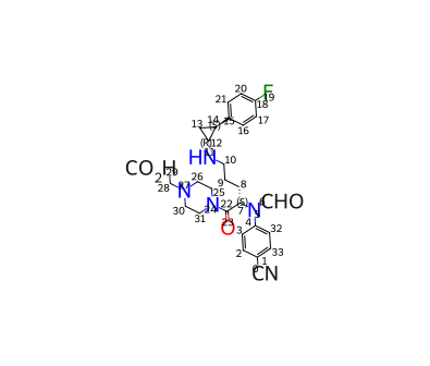 N#Cc1ccc(N(C=O)[C@@H](CCCN[C@@H]2C[C@H]2c2ccc(F)cc2)C(=O)N2CCN(CC(=O)O)CC2)cc1